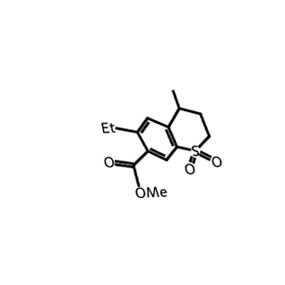 CCc1cc2c(cc1C(=O)OC)S(=O)(=O)CCC2C